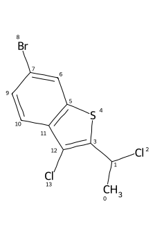 CC(Cl)c1sc2cc(Br)ccc2c1Cl